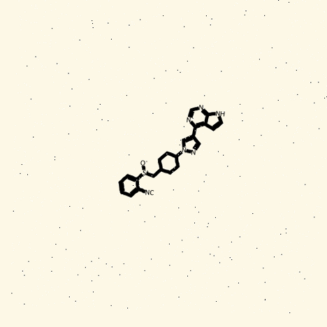 [C-]#[N+]c1ccccc1[S+]([O-])CC1CCC(n2cc(-c3ncnc4[nH]ccc34)cn2)CC1